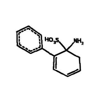 NC1(S(=O)(=O)O)CC=CC=C1c1ccccc1